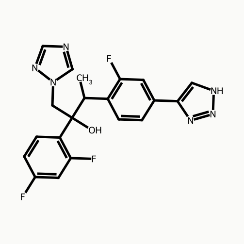 CC(c1ccc(-c2c[nH]nn2)cc1F)C(O)(Cn1cncn1)c1ccc(F)cc1F